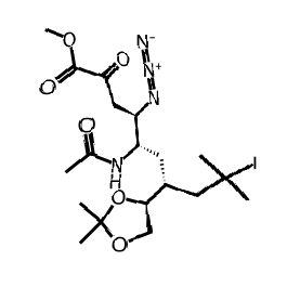 COC(=O)C(=O)C[C@@H](N=[N+]=[N-])[C@H](C[C@H](CC(C)(C)I)[C@H]1COC(C)(C)O1)NC(C)=O